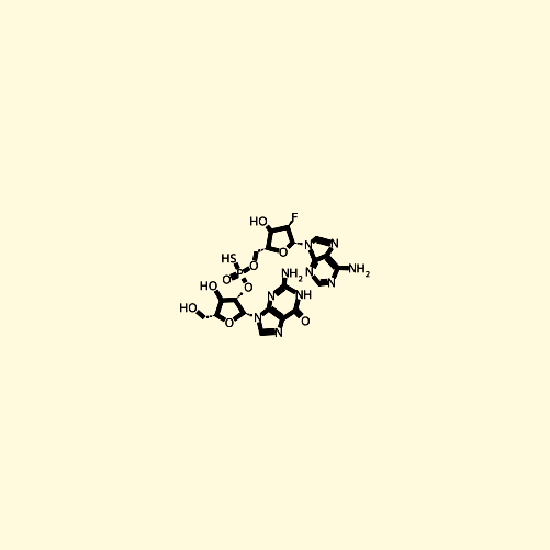 Nc1nc2c(ncn2[C@@H]2O[C@H](CO)C(O)[C@@H]2OP(=O)(S)OC[C@H]2O[C@@H](n3cnc4c(N)ncnc43)[C@@H](F)C2O)c(=O)[nH]1